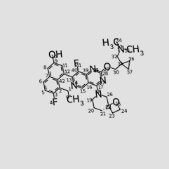 CCc1c(F)ccc2cc(O)cc(-c3ncc4c(N5CCC[C@]6(CCO6)C5)nc(OCC5(CN(C)C)CC5)nc4c3F)c12